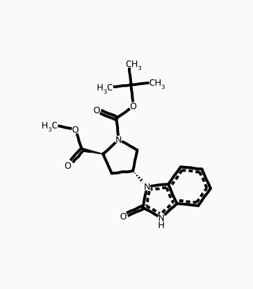 COC(=O)[C@@H]1C[C@@H](n2c(=O)[nH]c3ccccc32)CN1C(=O)OC(C)(C)C